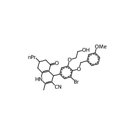 CCCC1CC(=O)C2=C(C1)NC(C)=C(C#N)C2c1cc(Br)c(OCc2cccc(OC)c2)c(OCCO)c1